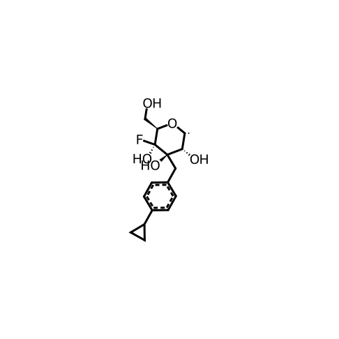 OC[C@H]1O[CH][C@H](O)[C@](O)(Cc2ccc(C3CC3)cc2)[C@@]1(O)F